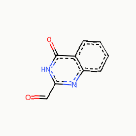 O=Cc1nc2ccccc2c(=O)[nH]1